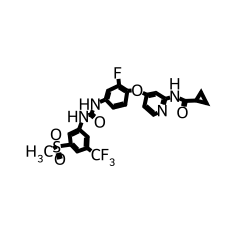 CS(=O)(=O)c1cc(NC(=O)Nc2ccc(Oc3ccnc(NC(=O)C4CC4)c3)c(F)c2)cc(C(F)(F)F)c1